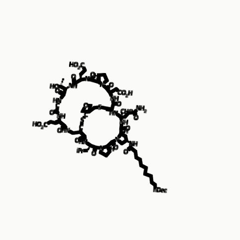 CCCCCCCCCCCCCCCCCCCC(=O)N[C@H]1C[C@H]2C(=O)N[C@](C=O)(CCC(N)=O)N/C3=C\SCC4(COC4)CSCC(CNC(=O)/C(=C/CC(=O)O)NC(=O)CNC(=O)[C@H]([C@@H](C)O)NC(=O)[C@@H](CCC(=O)O)NC(=O)[C@@H]4CCCN4C(=O)C(CC(=O)O)NC3=O)C(=O)N[C@@H](CC(C)C)C(=O)N3CCC[C@@H]3C(=O)N2C1